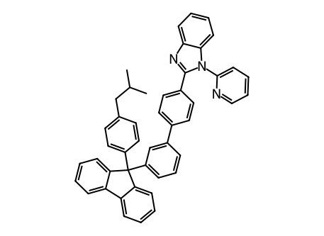 CC(C)Cc1ccc(C2(c3cccc(-c4ccc(-c5nc6ccccc6n5-c5ccccn5)cc4)c3)c3ccccc3-c3ccccc32)cc1